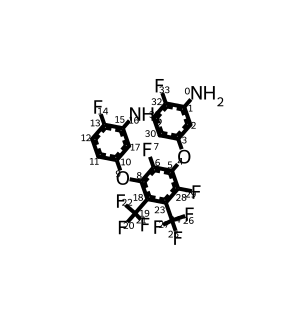 Nc1cc(Oc2c(F)c(Oc3ccc(F)c(N)c3)c(C(F)(F)F)c(C(F)(F)F)c2F)ccc1F